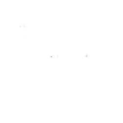 CC1CC2OC(=O)CC2[C@H]1/C=C/C(CCc1ccccc1)O[Si](C)(C)C(C)(C)C